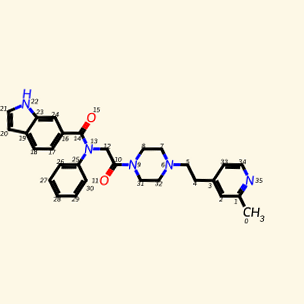 Cc1cc(CCN2CCN(C(=O)CN(C(=O)c3ccc4cc[nH]c4c3)c3ccccc3)CC2)ccn1